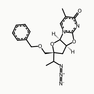 Cc1cn2c(nc1=O)O[C@H]1C[C@](COCc3ccccc3)(C(C)N=[N+]=[N-])O[C@H]12